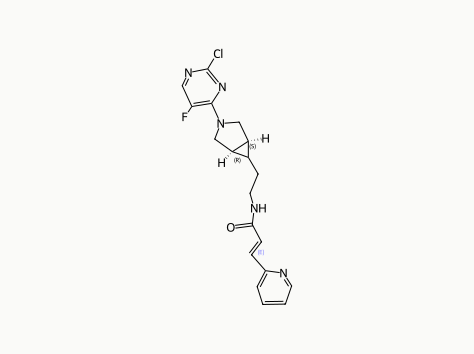 O=C(/C=C/c1ccccn1)NCCC1[C@H]2CN(c3nc(Cl)ncc3F)C[C@@H]12